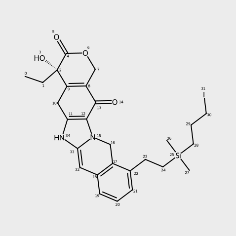 CC[C@@]1(O)C(=O)OCC2=C1CC1=C(C2=O)N2Cc3c(cccc3CC[Si](C)(C)CCCI)C=C2N1